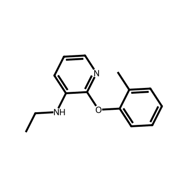 CCNc1cccnc1Oc1ccccc1C